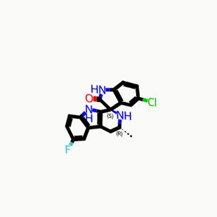 C[C@@H]1Cc2c([nH]c3ccc(F)cc23)[C@]2(N1)C(=O)Nc1ccc(Cl)cc12